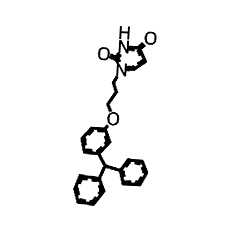 O=c1ccn(CCCOc2cccc(C(c3ccccc3)c3ccccc3)c2)c(=O)[nH]1